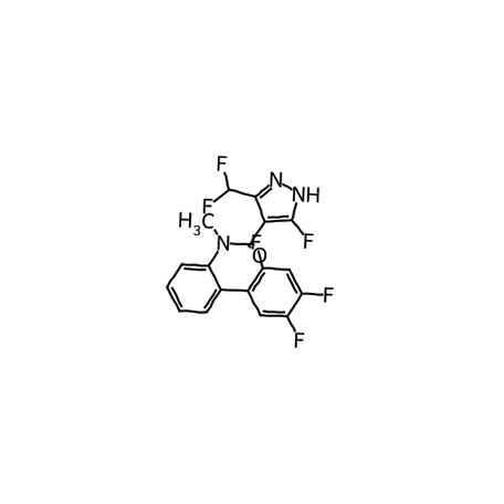 CN(C(=O)c1c(C(F)F)n[nH]c1F)c1ccccc1-c1cc(F)c(F)cc1F